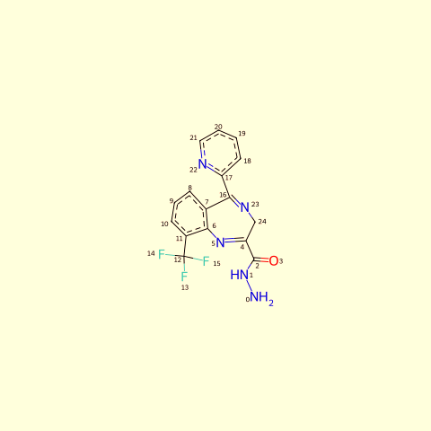 NNC(=O)C1=Nc2c(cccc2C(F)(F)F)C(c2ccccn2)=NC1